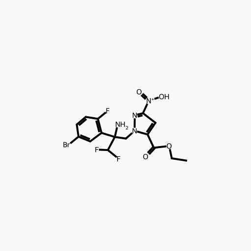 CCOC(=O)c1cc([N+](=O)O)nn1CC(N)(c1cc(Br)ccc1F)C(F)F